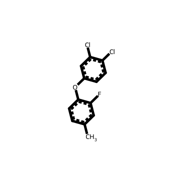 Cc1ccc(Oc2ccc(Cl)c(Cl)c2)c(F)c1